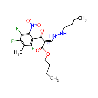 CCCCNN/C=C(/C(=O)OCCCC)C(=O)c1c(F)c(C)c(F)c(F)c1[N+](=O)[O-]